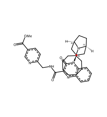 COC(=O)c1ccc(CNC(=O)c2nc3ccccc3n([C@H]3C[C@H]4CC[C@@H](C3)N4C3CCCCCCC3)c2=O)nc1